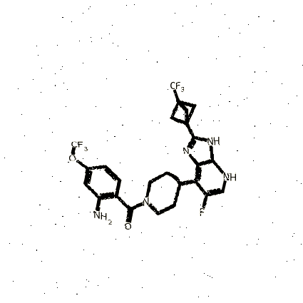 Nc1cc(OC(F)(F)F)ccc1C(=O)N1CCC(C2=C3N=C(C45CC(C(F)(F)F)(C4)C5)NC3NC=C2F)CC1